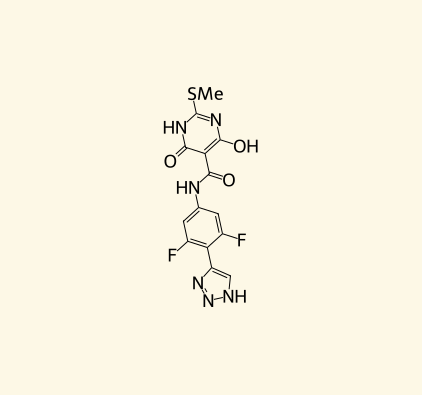 CSc1nc(O)c(C(=O)Nc2cc(F)c(-c3c[nH]nn3)c(F)c2)c(=O)[nH]1